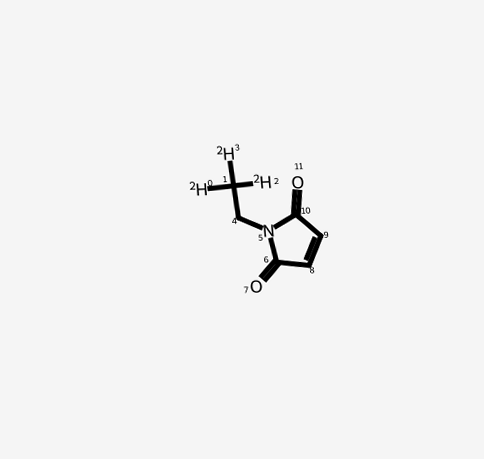 [2H]C([2H])([2H])CN1C(=O)C=CC1=O